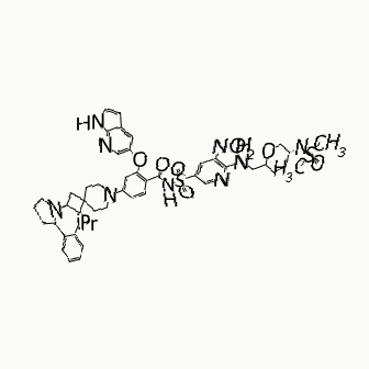 CC(C)c1ccccc1[C@H]1CCCN1C1CC2(CCN(c3ccc(C(=O)NS(=O)(=O)c4cnc(NCC5CC[C@@H](N=S(C)(C)=O)CO5)c([N+](=O)[O-])c4)c(Oc4cnc5[nH]ccc5c4)c3)CC2)C1